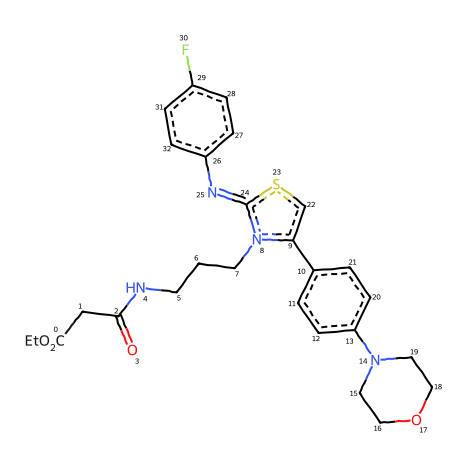 CCOC(=O)CC(=O)NCCCn1c(-c2ccc(N3CCOCC3)cc2)cs/c1=N\c1ccc(F)cc1